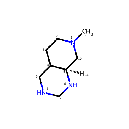 CN1CCC2CNCN[C@@H]2C1